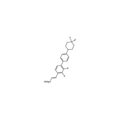 CCCCCCCC=Cc1ccc(-c2ccc(C3CCC(F)(F)CC3)cc2)c(F)c1F